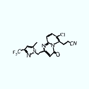 Cc1cc(C(F)(F)F)nn1Cc1cc(=O)n2c(CCC#N)c(Cl)ccc2n1